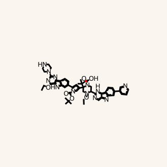 CCOc1nc(N2CCNCC2)nc2c1[nH]c1cc(-c3cc(C4(C(C)(C)C)CN(OCC)C(c5ncc6nc7cc(-c8cccnc8)ccc7c-6[nH]5)CN4C(=O)O)cn3C(=O)OC(C)(C)C)ccc12